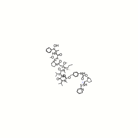 CC[C@H](C)[C@@H]([C@@H](CC(=O)N1CCC[C@H]1[C@H](OC)[C@@H](C)C(=O)N[C@H](C)[C@@H](O)c1ccccc1)OC)N(C)C(=O)[C@@H](NC(=O)[C@H](C(C)C)N(C)C(=O)OCc1ccc(NC(=O)O[C@@H]2CCCC2/C=[SH]/Sc2ccccn2)cc1)C(C)C